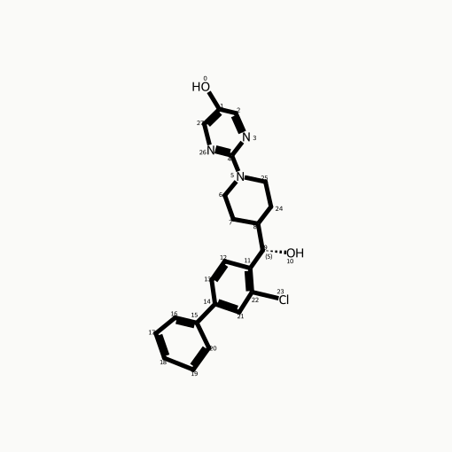 Oc1cnc(N2CCC([C@H](O)c3ccc(-c4ccccc4)cc3Cl)CC2)nc1